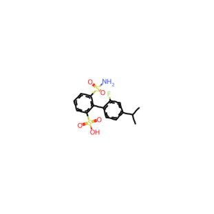 CC(C)c1ccc(-c2c(S(N)(=O)=O)cccc2S(=O)(=O)O)c(F)c1